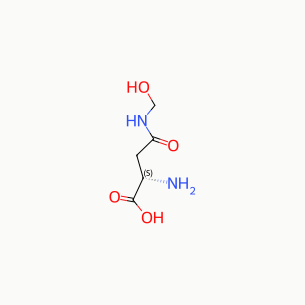 N[C@@H](CC(=O)NCO)C(=O)O